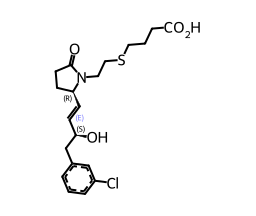 O=C(O)CCCSCCN1C(=O)CC[C@@H]1/C=C/[C@@H](O)Cc1cccc(Cl)c1